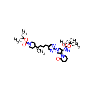 CC(C)OC(=O)N1CCC([C@H](C)CCCc2cnc(N3C[C@H](NC(=O)OC(C)(C)C)[C@@H](N4CCCCC4=O)C3)nc2)CC1